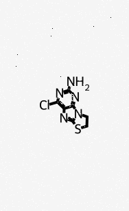 Nc1nc(Cl)c2nc3n(c2n1)CCS3